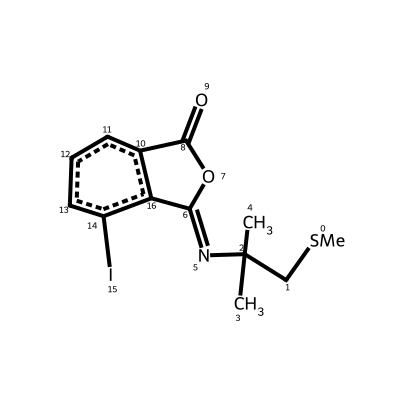 CSCC(C)(C)/N=C1\OC(=O)c2cccc(I)c21